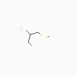 CCC(COC(C)=O)CSC(C)=O